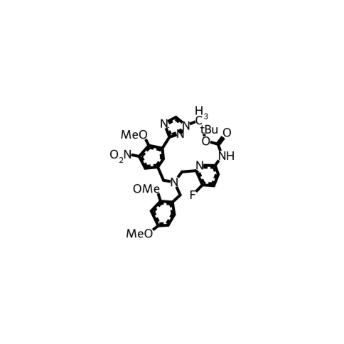 COc1ccc(CN(Cc2cc(-c3ncn(C)n3)c(OC)c([N+](=O)[O-])c2)Cc2nc(NC(=O)OC(C)(C)C)ccc2F)c(OC)c1